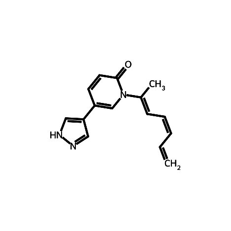 C=C/C=C\C=C(/C)n1cc(-c2cn[nH]c2)ccc1=O